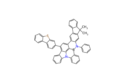 CC1(C)c2ccccc2-c2cc3c(cc21)N(c1ccccc1)B1c2ccccc2-n2c4ccccc4c4c(-c5ccc6c(c5)sc5ccccc56)cc-3c1c42